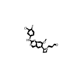 COc1cc2nc(Nc3ccc(F)c(Cl)c3)ncc2cc1C1CCN1C=CC=O